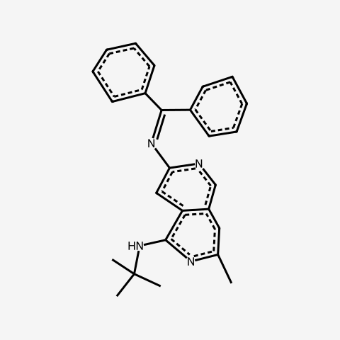 Cc1cc2cnc(N=C(c3ccccc3)c3ccccc3)cc2c(NC(C)(C)C)n1